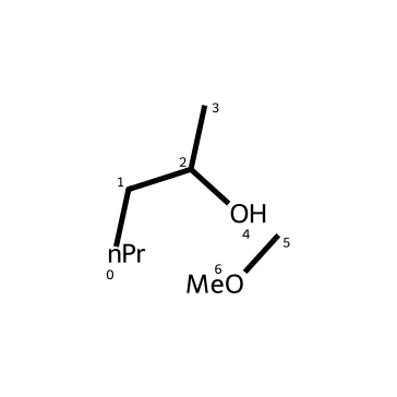 CCCCC(C)O.COC